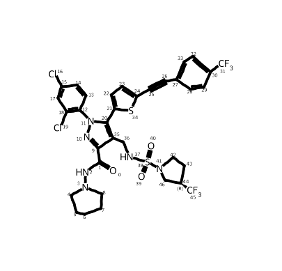 O=C(NN1CCCCC1)c1nn(-c2ccc(Cl)cc2Cl)c(-c2ccc(C#Cc3ccc(C(F)(F)F)cc3)s2)c1CNS(=O)(=O)N1CC[C@@H](C(F)(F)F)C1